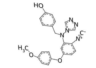 [C-]#[N+]c1ccc(Oc2ccc(OC)cc2)cc1N(Cc1ccc(O)cc1)n1cnnc1